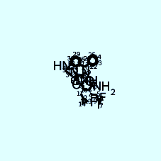 NC(=O)[C@H](CCC(F)(F)F)[C@H](CC1CC1)C(=O)N[C@H]1N=C(c2ccccc2)c2cccc3c2N(CCN3)C1=O